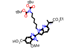 CCOC(=O)/C=C(\C)c1ccc2cc(-c3nc4cc(C(=O)O)cc(OC)c4n3C)n(CCCCCCN(C(=O)OC(C)(C)C)C(=O)OC(C)(C)C)c2n1